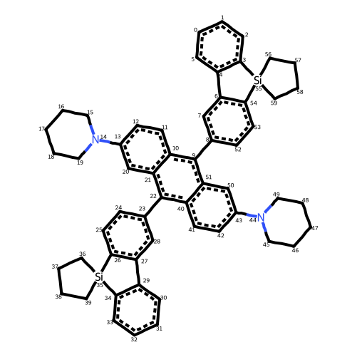 c1ccc2c(c1)-c1cc(-c3c4ccc(N5CCCCC5)cc4c(-c4ccc5c(c4)-c4ccccc4[Si]54CCCC4)c4ccc(N5CCCCC5)cc34)ccc1[Si]21CCCC1